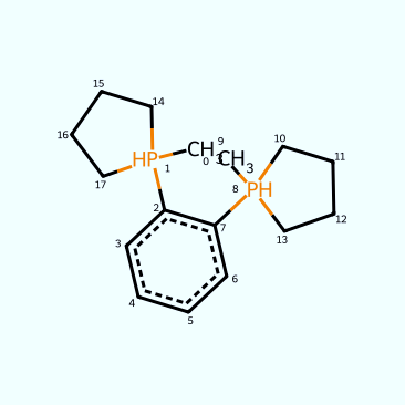 C[PH]1(c2ccccc2[PH]2(C)CCCC2)CCCC1